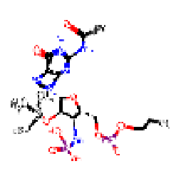 CC(C)C(=O)Nc1nc2c(ncn2[C@@H]2O[C@H](CO[PH](=O)OCCC#N)[C@@H](NP(=O)(O)O)[C@H]2O[Si](C)(C)C(C)(C)C)c(=O)[nH]1